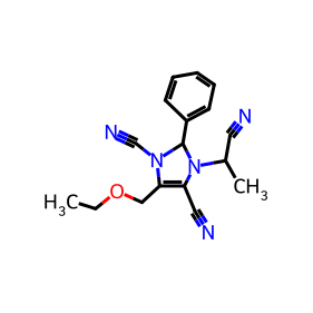 CCOCC1=C(C#N)N(C(C)C#N)C(c2ccccc2)N1C#N